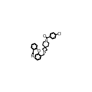 N#Cc1ccccc1Oc1ccccc1CN1CC2(CCN(C(=O)c3ccc(Cl)cc3)CC2)C1